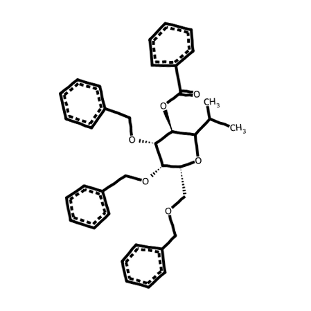 CC(C)C1O[C@H](COCc2ccccc2)[C@H](OCc2ccccc2)[C@H](OCc2ccccc2)[C@H]1OC(=O)c1ccccc1